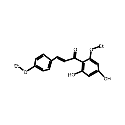 CCOc1ccc(/C=C/C(=O)c2c(O)cc(O)cc2OCC)cc1